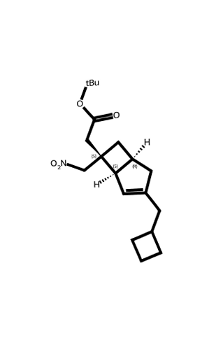 CC(C)(C)OC(=O)C[C@@]1(C[N+](=O)[O-])C[C@H]2CC(CC3CCC3)=C[C@H]21